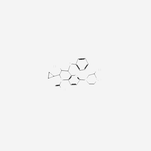 CC(=O)N1c2ccc(N3CCNC(C)C3)nc2C(Nc2ccccc2)C(C)C1C1CC1